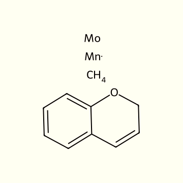 C.C1=Cc2ccccc2OC1.[Mn].[Mo]